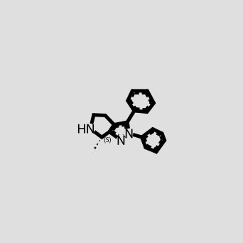 C[C@@H]1NCCc2c1nn(-c1ccccc1)c2-c1ccccc1